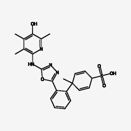 Cc1nc(Nc2nnc(-c3ccccc3C3(C)C=CC(S(=O)(=O)O)C=C3)o2)c(C)c(C)c1O